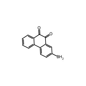 Bc1ccc2c(c1)C(=O)C(=O)c1ccccc1-2